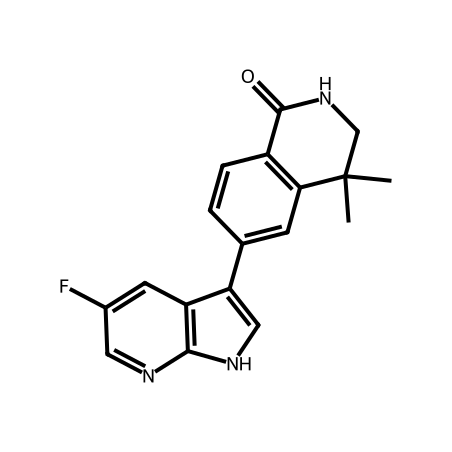 CC1(C)CNC(=O)c2ccc(-c3c[nH]c4ncc(F)cc34)cc21